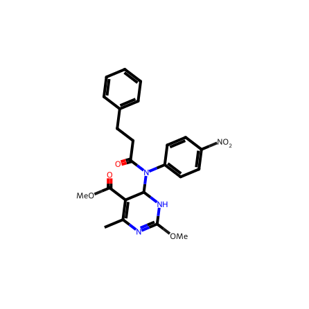 COC(=O)C1=C(C)N=C(OC)NC1N(C(=O)CCc1ccccc1)c1ccc([N+](=O)[O-])cc1